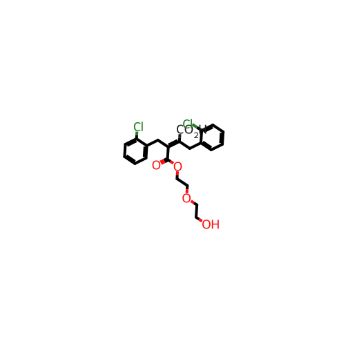 O=C(O)/C(Cc1ccccc1Cl)=C(\Cc1ccccc1Cl)C(=O)OCCOCCO